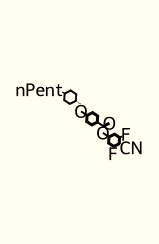 CCCCC[C@H]1CC[C@H](COc2ccc(C(=O)Oc3cc(F)c(C#N)c(F)c3)cc2)CC1